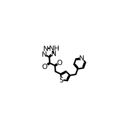 O=C(Cc1cc(Cc2ccncc2)cs1)C(=O)c1nn[nH]n1